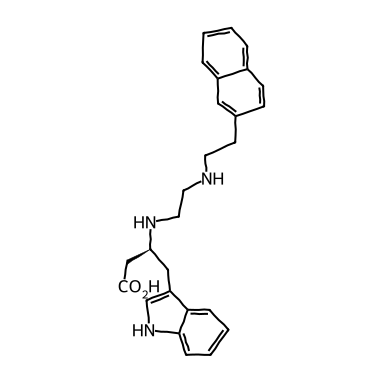 O=C(O)C[C@H](Cc1c[nH]c2ccccc12)NCCNCCc1ccc2ccccc2c1